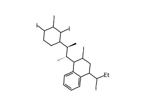 CCC(I)C1CC(I)C([C@H](C)[C@H](C)C2CCC(I)C(I)C2I)c2ccccc21